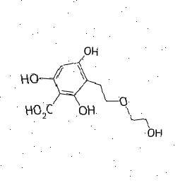 O=C(O)c1c(O)cc(O)c(CCOCCO)c1O